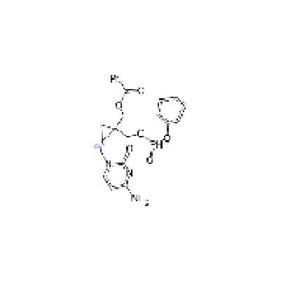 CC(C)C(=O)OCC1(CO[PH](=O)Oc2ccccc2)C/C1=C/n1ccc(N)nc1=O